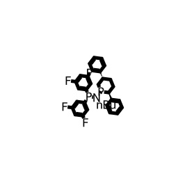 CCCCN(P(c1cc(F)cc(F)c1)c1cc(F)cc(F)c1)P1C[C@H](c2ccccc2)CC[C@H]1c1ccccc1